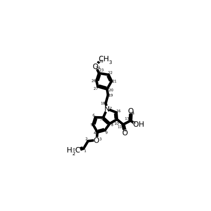 C=CCOc1ccc2c(c1)c(C(=O)C(=O)O)cn2CCc1ccc(OC)cc1